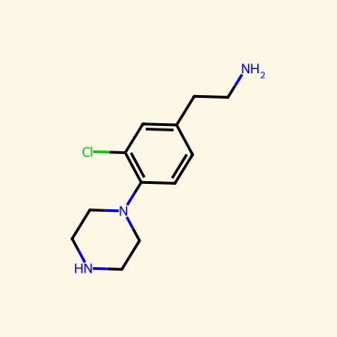 NCCc1ccc(N2CCNCC2)c(Cl)c1